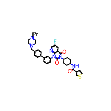 CC(C)N1CCN(Cc2ccc(-c3cccc(-n4c(=O)n(C5CCC(NC(=O)c6ccsc6)CC5)c(=O)c5cc(F)cnc54)c3)cc2)CC1